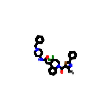 Cc1nc(-c2ccccc2)sc1C(=O)N1CCC(F)(F)C(=CC(=O)NC2CCN(Cc3ccccc3)CC2)c2ccccc21